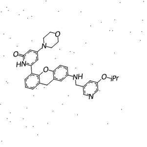 CC(C)Oc1cncc(CNc2ccc3c(c2)Cc2cccc(-c4cc(N5CCOCC5)cc(=O)[nH]4)c2O3)c1